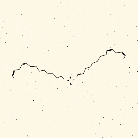 CCCCC/C=C\C/C=C\CCCCCCCCOS(=O)(=O)OCCCCCCCC/C=C\C/C=C\CCCCC